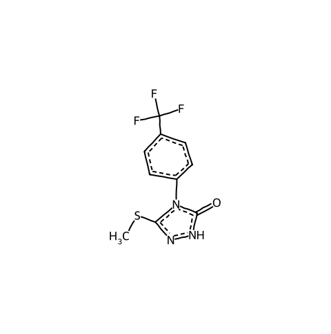 CSc1n[nH]c(=O)n1-c1ccc(C(F)(F)F)cc1